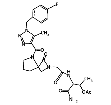 CC(=O)OC(C)C(NC(=O)CN1CC2(CCCN2C(=O)c2nnn(Cc3ccc(F)cc3)c2C)C1=O)C(N)=O